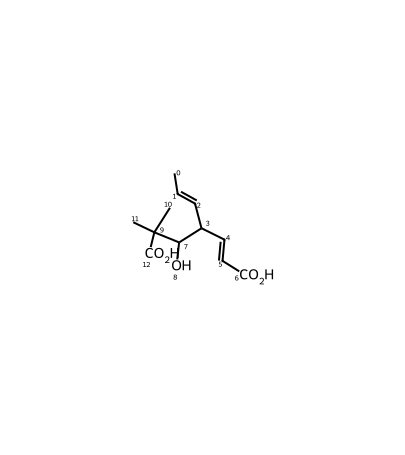 CC=CC(C=CC(=O)O)C(O)C(C)(C)C(=O)O